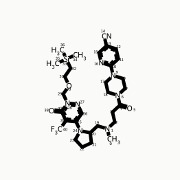 CN(CCC(=O)N1CCN(c2ccc(C#N)cn2)CC1)CC1CCCN1c1cnn(COCC[Si](C)(C)C)c(=O)c1C(F)(F)F